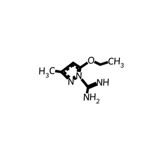 CCOc1cc(C)nn1C(=N)N